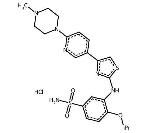 CC(C)Oc1ccc(S(N)(=O)=O)cc1Nc1nc(-c2ccc(N3CCN(C)CC3)nc2)cs1.Cl